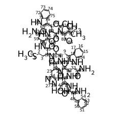 CSCC[C@H](NC(=O)[C@H](Cc1c[nH]c2ccccc12)NC(=O)[C@H](Cc1c[nH]cn1)NC(=O)[C@H](CC(N)=O)NC(=O)[C@H](CO)NC(=O)[C@@H](N)Cc1ccccc1)C(=O)N[C@@H](CC(N)=O)C(=O)N[C@@H](Cc1c[nH]c2ccccc12)C(=O)N(C(C)=O)[C@H]([C]=O)C(C)C